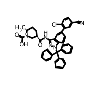 C[C@@H]1CC[C@@H](C(=O)Nc2nn(C(c3ccccc3)(c3ccccc3)c3ccccc3)c3ccc(-c4cc(C#N)ccc4Cl)cc23)CN1C(=O)O